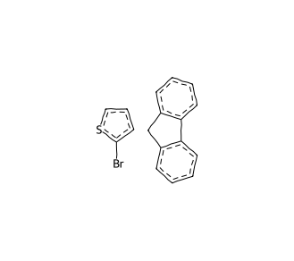 Brc1cccs1.c1ccc2c(c1)Cc1ccccc1-2